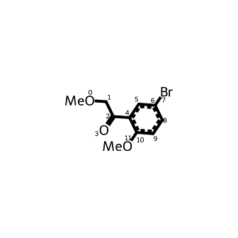 COCC(=O)c1cc(Br)ccc1OC